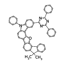 CC1(C)c2ccccc2-c2c1ccc1c2oc2c1ccc1c2c2cc(-c3nc(-c4ccccc4)nc(-c4ccccc4)n3)ccc2n1-c1ccccc1